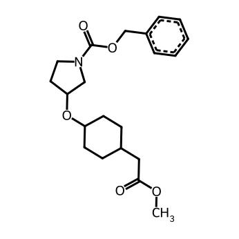 COC(=O)CC1CCC(OC2CCN(C(=O)OCc3ccccc3)C2)CC1